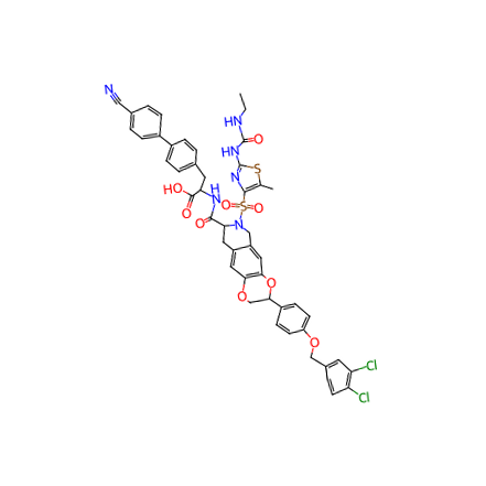 CCNC(=O)Nc1nc(S(=O)(=O)N2Cc3cc4c(cc3CC2C(=O)NC(Cc2ccc(-c3ccc(C#N)cc3)cc2)C(=O)O)OCC(c2ccc(OCc3ccc(Cl)c(Cl)c3)cc2)O4)c(C)s1